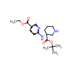 CCOC(=O)c1ccc(N[C@]2(C(=O)OC(C)(C)C)CCCNC2)nc1